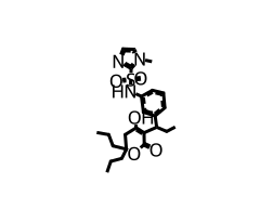 CCCC1(CCC)CC(O)=C(C(CC)c2cccc(NS(=O)(=O)c3nccn3C)c2)C(=O)O1